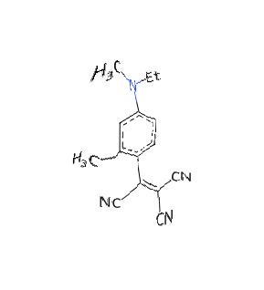 CCN(C)c1ccc(C(C#N)=C(C#N)C#N)c(C)c1